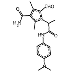 Cc1c(C(N)=O)c(C)n(C(C)C(=O)Nc2ccc(N(C)C)cc2)c1C=O